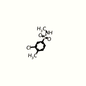 CNS(=O)(=O)c1ccc(C)c(Cl)c1